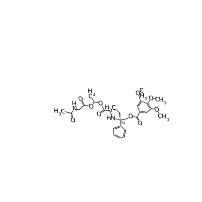 CC[C@](COC(=O)c1cc(OC)c(OC)c(OC)c1)(NCC(=O)OC(C)OC(=O)CNC(C)=O)c1ccccc1